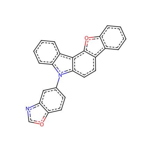 c1ccc2c(c1)oc1c2ccc2c1c1ccccc1n2-c1ccc2ocnc2c1